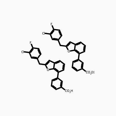 CCOC(=O)c1cccc(-c2cccc3cc(Cc4ccc(F)c(Cl)c4)oc23)c1.O=C(O)c1cccc(-c2cccc3cc(Cc4ccc(F)c(Cl)c4)oc23)c1